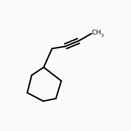 CC#CCC1CCCCC1